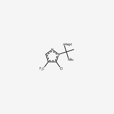 CCCCCCCC(C)(CCCC)n1ncc(C(F)(F)F)c1Cl